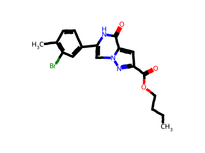 CCCCOC(=O)c1cc2c(=O)[nH]c(-c3ccc(C)c(Br)c3)cn2n1